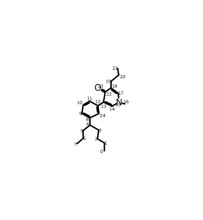 CCCCC(CCC)c1cccc(-c2cn(C)cc(CCC)c2=O)c1